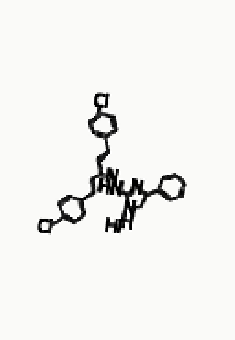 Clc1ccc(/C=C/C(/C=C/c2ccc(Cl)cc2)=NNC2=NC(c3ccccc3)CN2)cc1.I